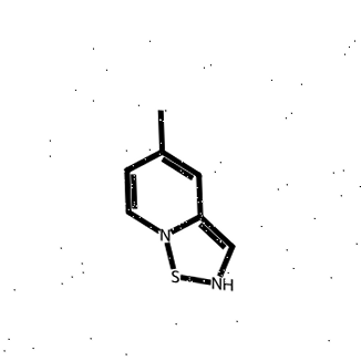 [CH2]C1=CC2=CNSN2C=C1